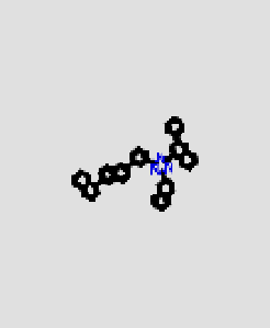 c1ccc(-c2cc(-c3nc(-c4cccc(-c5ccc6cc(-c7cccc8ccccc78)ccc6c5)c4)nc(-c4ccc5ccccc5c4)n3)c3ccccc3c2)cc1